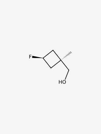 C[C@]1(CO)C[C@@H](F)C1